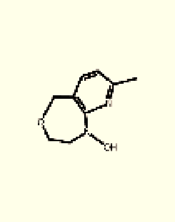 Cc1ccc2c(n1)N(O)CCOC2